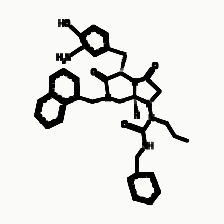 CCCN(C(=O)NCc1ccccc1)N1CC(=O)N2[C@@H](Cc3ccc(O)c(N)c3)C(=O)N(Cc3cccc4ccccc34)C[C@@H]21